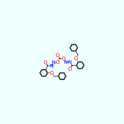 O=C(ON=NC(=O)c1ccccc1OCc1ccccc1)ON=NC(=O)c1ccccc1OCc1ccccc1